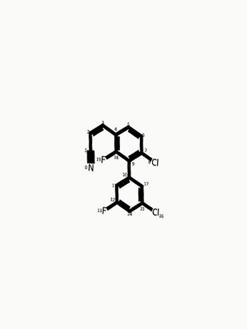 N#C/C=C\c1ccc(Cl)c(-c2cc(F)cc(Cl)c2)c1F